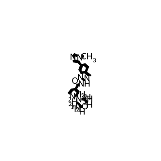 [2H]C1([2H])OC([2H])([2H])C([2H])([2H])N(c2cc(C(=O)Nc3ncc4ccc(-c5cncn5C)cc4n3)ccn2)C1([2H])[2H]